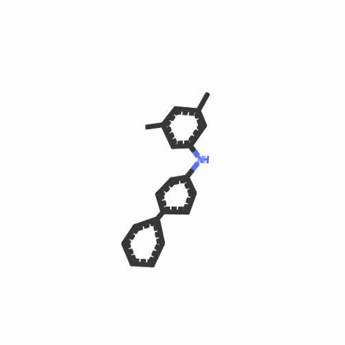 Cc1cc(C)cc(Nc2ccc(-c3ccccc3)cc2)c1